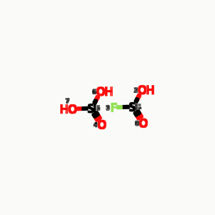 O=[Si](O)F.O=[Si](O)O